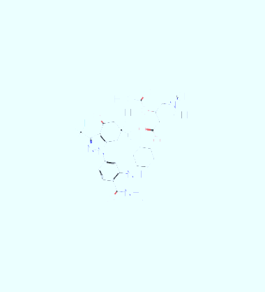 CC(=O)OC(CC(=O)O[C@H]1CC[C@@H](Nc2cc(-n3nc(C(F)(F)F)c4c3CC(C)(C)CC4=O)ccc2C(N)=O)CC1)CN(C)C